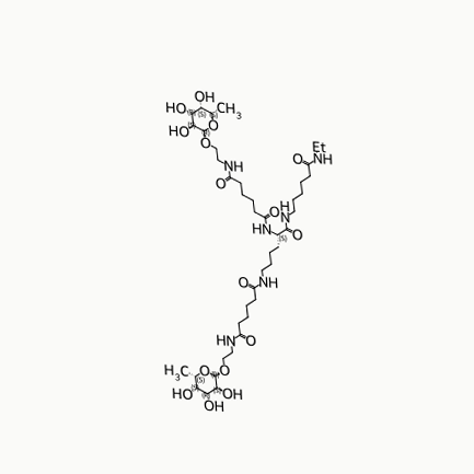 CCNC(=O)CCCCCNC(=O)[C@H](CCCCNC(=O)CCCCC(=O)NCCO[C@@H]1O[C@@H](C)[C@@H](O)[C@@H](O)[C@@H]1O)NC(=O)CCCCC(=O)NCCO[C@@H]1O[C@@H](C)[C@@H](O)[C@@H](O)[C@@H]1O